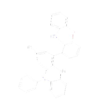 CC(C)c1cc(-c2cccc3c2Nc2ccccc2O3)c2c(c1)N(c1ccccc1)c1ccccc1B2